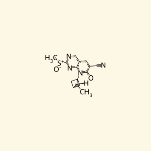 C[C@@H]1C2CC1(n1c(=O)c(C#N)cc3cnc([S+](C)[O-])nc31)C2